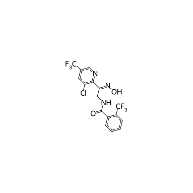 O=C(NCC(=NO)c1ncc(C(F)(F)F)cc1Cl)c1ccccc1C(F)(F)F